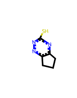 Sc1nnc2c(n1)CCC2